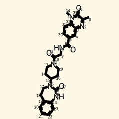 Cc1nc2cc(C(=O)NCC(=O)N3CCC(N4CCc5ccccc5NC4=O)CC3)ccc2n(C)c1=O